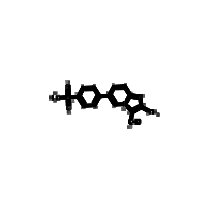 Cc1nc2ccc(-c3ccc(S(C)(=O)=O)cc3)cn2c1C=O